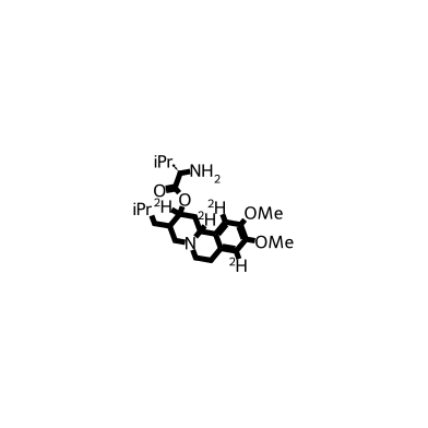 [2H]c1c2c(c([2H])c(OC)c1OC)C1([2H])CC([2H])(OC(=O)[C@@H](N)C(C)C)C(CC(C)C)CN1CC2